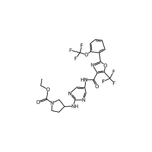 CCOC(=O)N1CCC(Nc2ncc(NC(=O)c3nc(-c4ccccc4OC(F)(F)F)oc3C(F)(F)F)cn2)C1